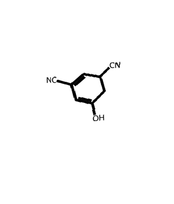 N#CC1=CC(C#N)CC(O)=C1